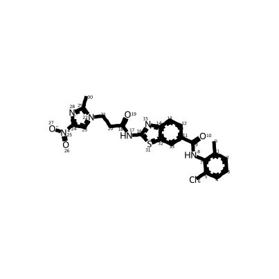 Cc1cccc(Cl)c1NC(=O)c1ccc2nc(NC(=O)CCn3cc([N+](=O)[O-])nc3C)sc2c1